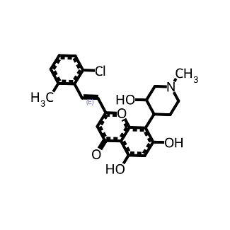 Cc1cccc(Cl)c1/C=C/c1cc(=O)c2c(O)cc(O)c(C3CCN(C)CC3O)c2o1